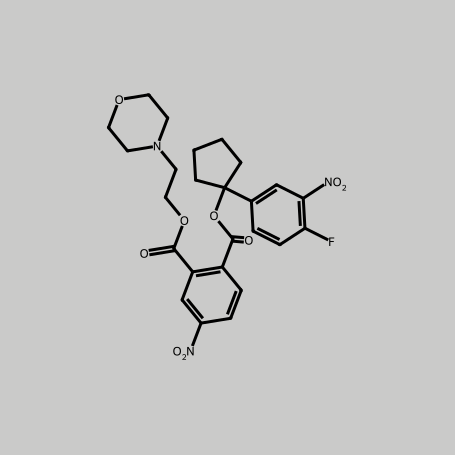 O=C(OCCN1CCOCC1)c1cc([N+](=O)[O-])ccc1C(=O)OC1(c2ccc(F)c([N+](=O)[O-])c2)CCCC1